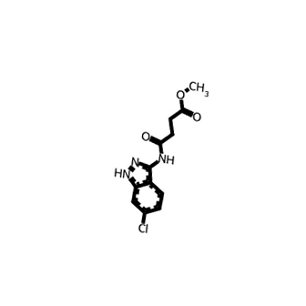 COC(=O)CCC(=O)Nc1n[nH]c2cc(Cl)ccc12